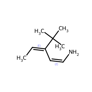 C/C=C(\C=C/N)C(C)(C)C